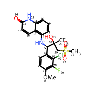 COc1ccc([C@@H](Nc2cccc3[nH]c(=O)ccc23)[C@](O)(CS(C)(=O)=O)C(F)(F)F)c(Cl)c1F